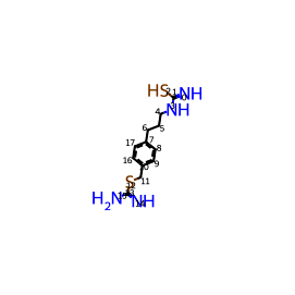 N=C(S)NCCCc1ccc(CSC(=N)N)cc1